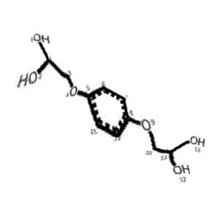 OC(O)COc1ccc(OCC(O)O)cc1